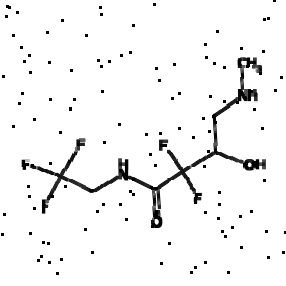 CNCC(O)C(F)(F)C(=O)NCC(F)(F)F